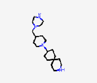 C1CN(CC2CCN(C3CCC4(CCNCC4)CC3)CC2)CCN1